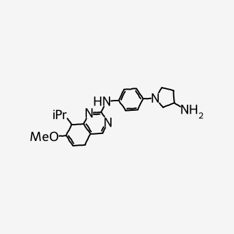 COC1=CCc2cnc(Nc3ccc(N4CCC(N)C4)cc3)nc2C1C(C)C